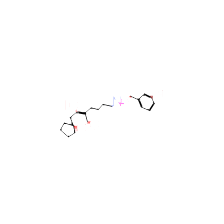 O=C1OC2(CCCC2)CC(O)=C1CCCC=NOCc1cccc(Br)c1